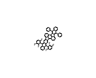 Fc1ccc(F)c(-c2c3ccccc3c(-c3c(F)ccc(F)c3F)c3cc4c(cc23)c2cccc3c2c4c2cccc4c5c(-c6ccccc6)c6ccccc6c(-c6ccccc6)c5c3c42)c1F